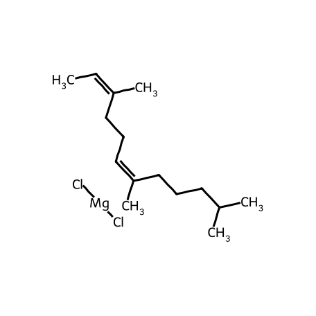 CC=C(C)CCC=C(C)CCCC(C)C.[Cl][Mg][Cl]